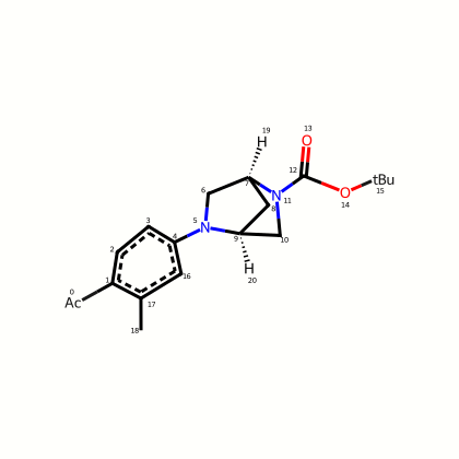 CC(=O)c1ccc(N2C[C@@H]3C[C@H]2CN3C(=O)OC(C)(C)C)cc1C